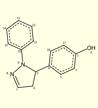 Oc1ccc(C2CC=NN2c2ccccc2)cc1